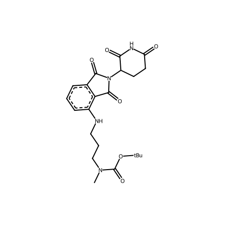 CN(CCCNc1cccc2c1C(=O)N(C1CCC(=O)NC1=O)C2=O)C(=O)OC(C)(C)C